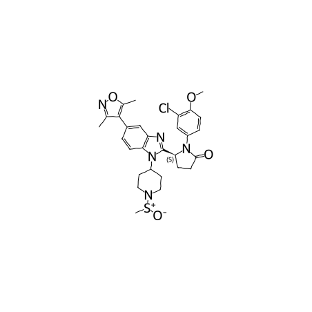 COc1ccc(N2C(=O)CC[C@H]2c2nc3cc(-c4c(C)noc4C)ccc3n2C2CCN([S+](C)[O-])CC2)cc1Cl